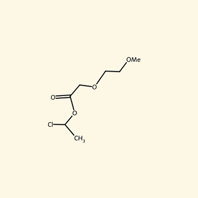 COCCOCC(=O)OC(C)Cl